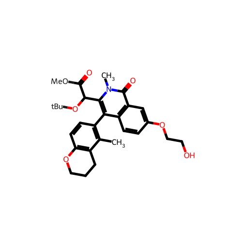 COC(=O)C(OC(C)(C)C)c1c(-c2ccc3c(c2C)CCCO3)c2ccc(OCCO)cc2c(=O)n1C